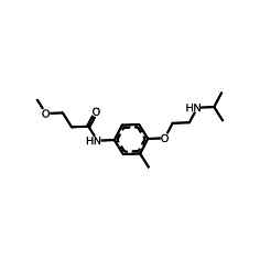 COCCC(=O)Nc1ccc(OCCNC(C)C)c(C)c1